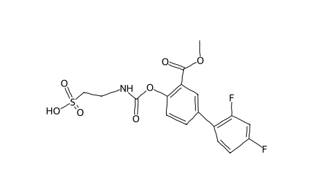 COC(=O)c1cc(-c2ccc(F)cc2F)ccc1OC(=O)NCCS(=O)(=O)O